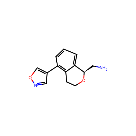 NC[C@H]1OCCc2c(-c3cnoc3)cccc21